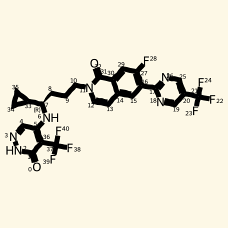 O=c1[nH]ncc(N[C@H](CCCn2ccc3cc(-c4ncc(C(F)(F)F)cn4)c(F)cc3c2=O)C2CC2)c1C(F)(F)F